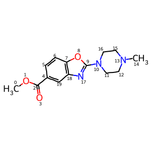 COC(=O)c1ccc2oc(N3CCN(C)CC3)nc2c1